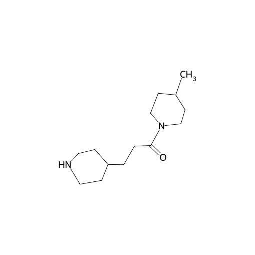 CC1CCN(C(=O)CCC2CCNCC2)CC1